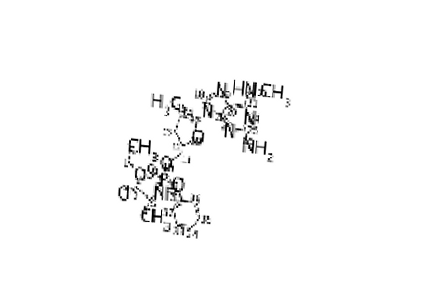 CCOC(=O)[C@H](C)N[P@](=S)(OC[C@@H]1C[C@H](C)[C@H](n2cnc3c(NC)nc(N)nc32)O1)Oc1ccccc1